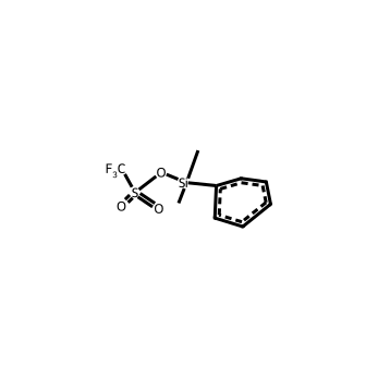 C[Si](C)(OS(=O)(=O)C(F)(F)F)c1ccccc1